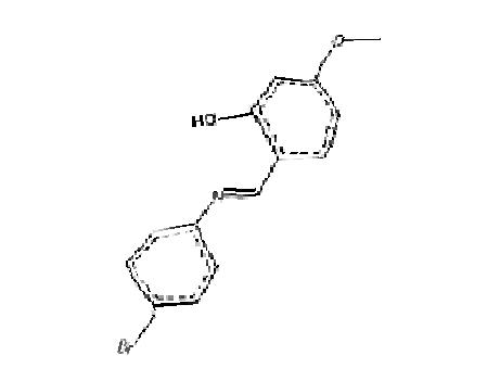 COc1ccc(C=Nc2ccc(Br)cc2)c(O)c1